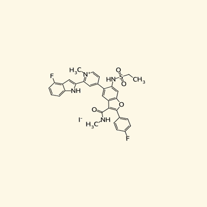 CCS(=O)(=O)Nc1cc2oc(-c3ccc(F)cc3)c(C(=O)NC)c2cc1-c1cc[n+](C)c(-c2cc3c(F)cccc3[nH]2)c1.[I-]